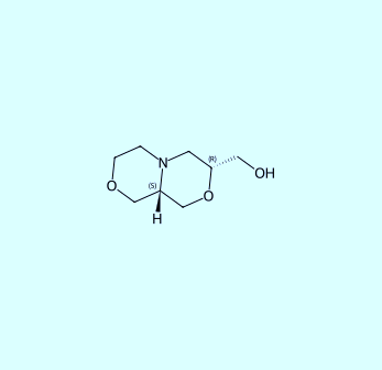 OC[C@H]1CN2CCOC[C@H]2CO1